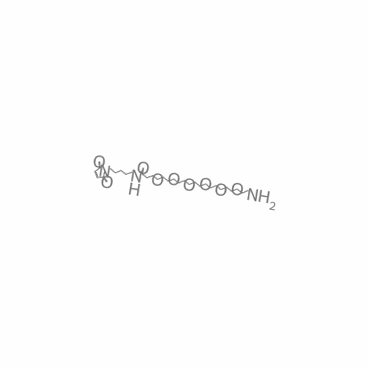 NCCOCCOCCOCCOCCOCCOCCC(=O)NCCCCCN1C(=O)C=CC1=O